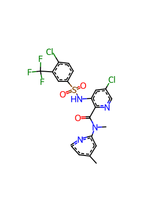 Cc1ccnc(N(C)C(=O)c2ncc(Cl)cc2NS(=O)(=O)c2ccc(Cl)c(C(F)(F)F)c2)c1